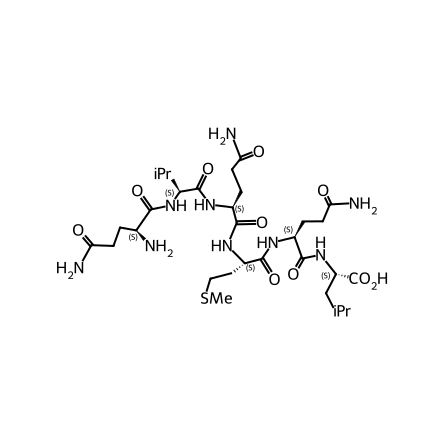 CSCC[C@H](NC(=O)[C@H](CCC(N)=O)NC(=O)[C@@H](NC(=O)[C@@H](N)CCC(N)=O)C(C)C)C(=O)N[C@@H](CCC(N)=O)C(=O)N[C@@H](CC(C)C)C(=O)O